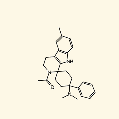 CC(=O)N1CCc2c([nH]c3ccc(C)cc23)C12CCC(c1ccccc1)(N(C)C)CC2